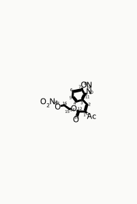 CC(=O)C(=Cc1cccc2onnc12)C(=O)OCCO[N+](=O)[O-]